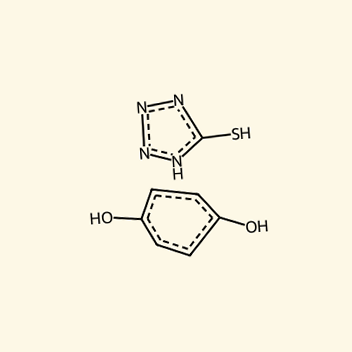 Oc1ccc(O)cc1.Sc1nnn[nH]1